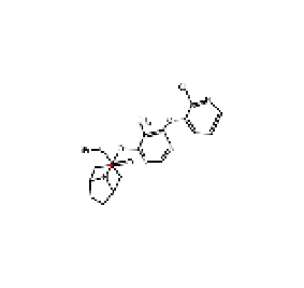 Cc1c(Oc2cccnc2Cl)ncnc1OC1CC2CCC(C1)N2C(=O)OC(C)C